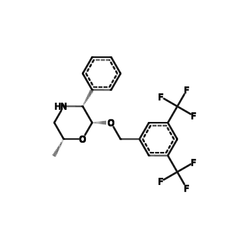 C[C@@H]1CN[C@H](c2ccccc2)[C@H](OCc2cc(C(F)(F)F)cc(C(F)(F)F)c2)O1